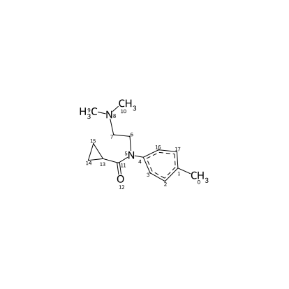 Cc1ccc(N(CCN(C)C)C(=O)C2CC2)cc1